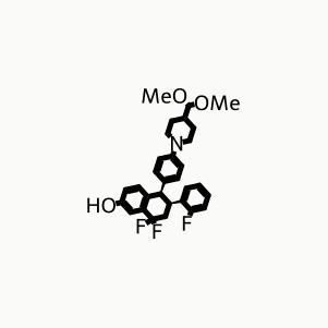 COC(OC)C1CCN(c2ccc([C@@H]3c4ccc(O)cc4C(F)(F)C[C@@H]3c3ccccc3F)cc2)CC1